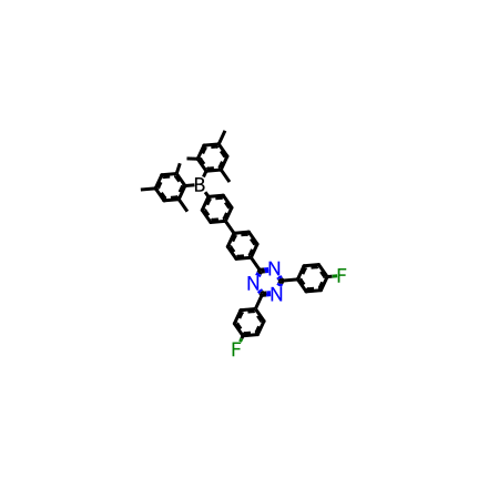 Cc1cc(C)c(B(c2ccc(-c3ccc(-c4nc(-c5ccc(F)cc5)nc(-c5ccc(F)cc5)n4)cc3)cc2)c2c(C)cc(C)cc2C)c(C)c1